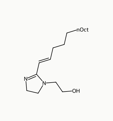 CCCCCCCCCCCC=CC1=NCCN1CCO